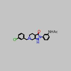 CC(=O)Nc1cccc(-n2[nH]c3c(c2=O)CCN(Cc2cccc(Cl)c2)C3)c1